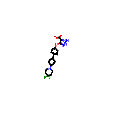 O=C(O)c1[nH]nnc1Oc1ccc(-c2ccc(N3CCC(F)(F)CC3)cc2)cc1